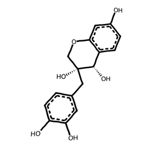 Oc1ccc2c(c1)OC[C@](O)(Cc1ccc(O)c(O)c1)[C@H]2O